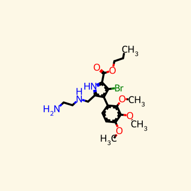 CCCOC(=O)c1[nH]c(CNCCN)c(-c2ccc(OC)c(OC)c2OC)c1Br